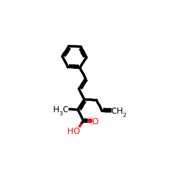 C=CCC(/C=C/c1ccccc1)=C(/C)C(=O)O